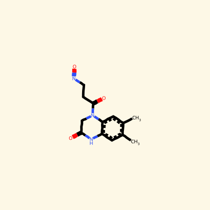 Cc1cc2c(cc1C)N(C(=O)CCN=O)CC(=O)N2